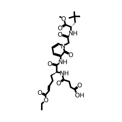 CCOC(=O)C=CCC[C@H](NC(=O)CCC(=O)O)C(=O)Nc1cccn(CC(=O)N[C@@H](CC(C)(C)C)C(=O)OC)c1=O